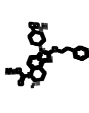 COC(=O)N1c2ccc3c(nc(OCCc4ccccc4)n3[C@H]3CC[C@H](C(=O)O)CC3)c2CC[C@@H]1C